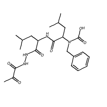 CC(=O)C(=O)NNC(=O)C(CC(C)C)NC(=O)C(CC(C)C)N(Cc1ccccc1)C(=O)O